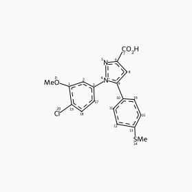 COc1cc(-n2nc(C(=O)O)cc2-c2ccc(SC)cc2)ccc1Cl